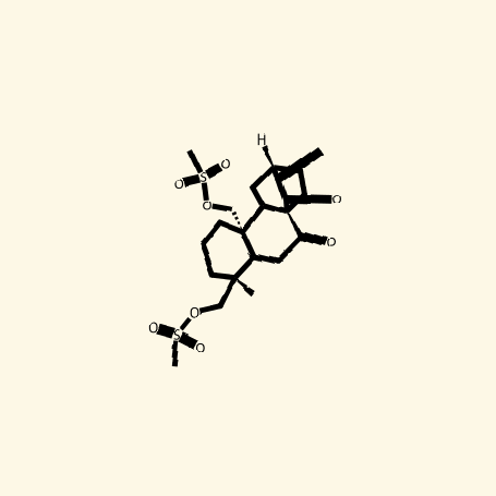 C=C1C(=O)[C@]23CC[C@H]1CC2[C@]1(COS(C)(=O)=O)CCC[C@@](C)(COS(C)(=O)=O)C1CC3=O